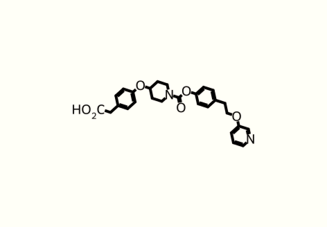 O=C(O)Cc1ccc(OC2CCN(C(=O)Oc3ccc(CCOc4cccnc4)cc3)CC2)cc1